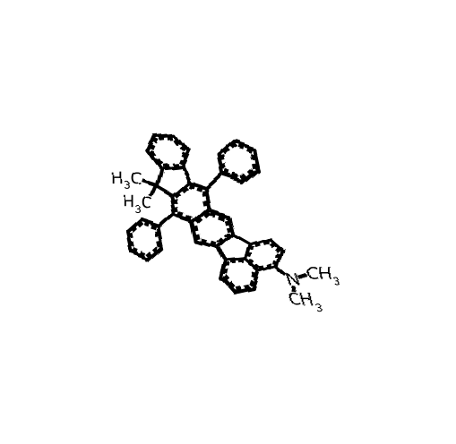 CN(C)c1ccc2c3c(cccc13)-c1cc3c(-c4ccccc4)c4c(c(-c5ccccc5)c3cc1-2)-c1ccccc1C4(C)C